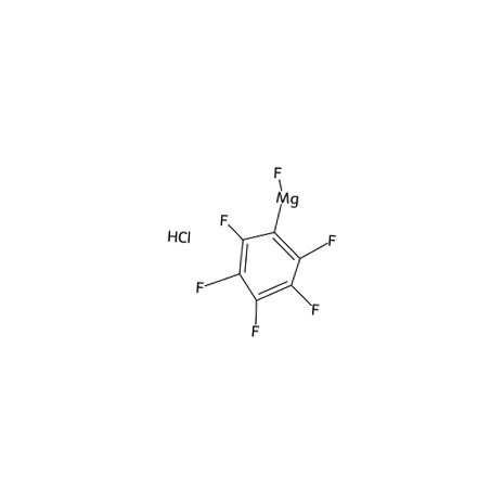 Cl.[F][Mg][c]1c(F)c(F)c(F)c(F)c1F